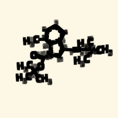 Cc1cccc2c(C#C[Si](C)(C)C)cn(C(=O)OC(C)(C)C)c12